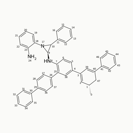 C[C@@H]1C=C(c2ccc(N[C@@H]3C(c4ccccc4)N3c3ccccc3N)c(-c3ccc(-c4ccccc4)cc3)c2)C=C(c2ccccc2)C1